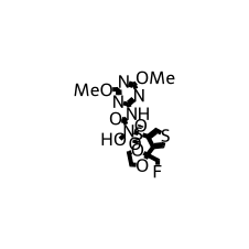 COc1nc(NC(=O)N(O)S(=O)(=O)c2cscc2C2(CF)OCCO2)nc(OC)n1